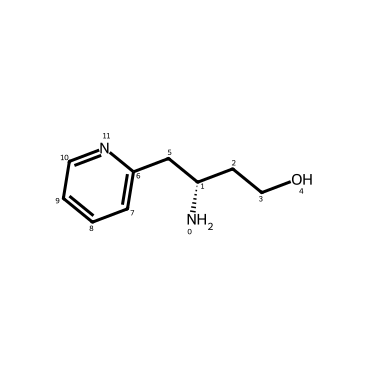 N[C@@H](CCO)Cc1ccccn1